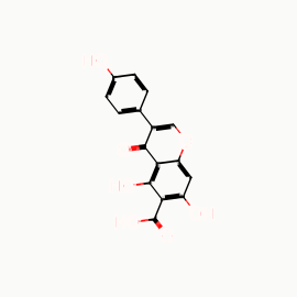 O=C(O)c1c(O)cc2occ(-c3ccc(O)cc3)c(=O)c2c1O